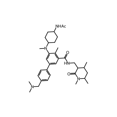 CC(=O)NC1CCC(N(C)c2cc(-c3ccc(CN(C)C)cc3)cc(C(=O)NCC3C(=O)N(C)C(C)CC3C)c2C)CC1